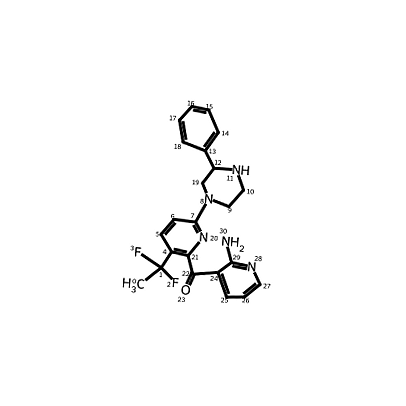 CC(F)(F)c1ccc(N2CCNC(c3ccccc3)C2)nc1C(=O)c1cccnc1N